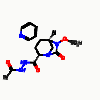 CCC(=O)NNC(=O)[C@@H]1CC[C@@H]2CN1C(=O)N2OS(=O)(=O)O.c1ccncc1